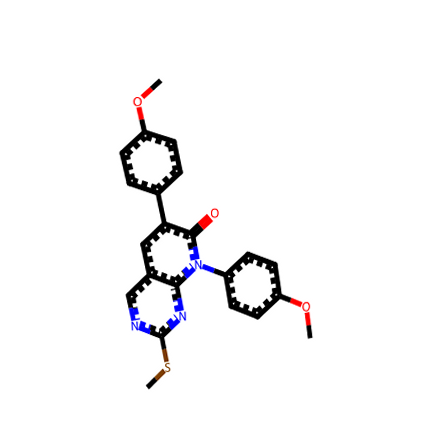 COc1ccc(-c2cc3cnc(SC)nc3n(-c3ccc(OC)cc3)c2=O)cc1